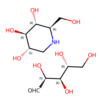 O=C[C@@H](O)[C@H](O)[C@H](O)CO.OC[C@H]1NC[C@H](O)[C@@H](O)[C@@H]1O